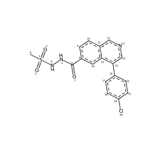 CS(=O)(=O)NNC(=O)c1ccc2cncc(-c3ccc(Cl)cc3)c2c1